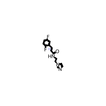 O=C(/C=C/c1cc(F)ccc1F)NCCn1ccnc1